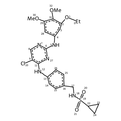 CCOc1cc(Nc2ncc(Cl)c(Nc3ccc(CNS(=O)(=O)C4CC4)cc3)n2)cc(OC)c1OC